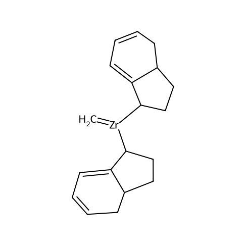 [CH2]=[Zr]([CH]1CCC2CC=CC=C21)[CH]1CCC2CC=CC=C21